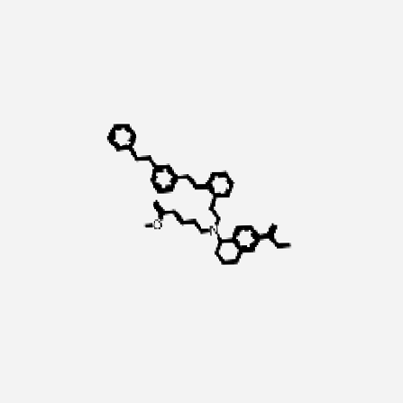 C=C(CCCCN(CCc1ccccc1CCc1cccc(CCc2ccccc2)c1)C1CCCc2cc(C(=C)CC)ccc21)OC